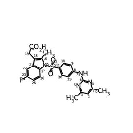 Cc1cc(C)nc(Nc2ccc(S(=O)(=O)n3c(C)c(CC(=O)O)c4cc(F)ccc43)cc2)n1